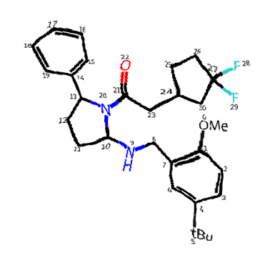 COc1ccc(C(C)(C)C)cc1CNC1CCC(c2ccccc2)N1C(=O)CC1CCC(F)(F)C1